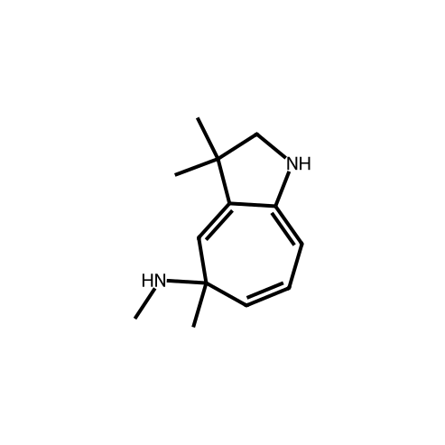 CNC1(C)C=CC=C2NCC(C)(C)C2=C1